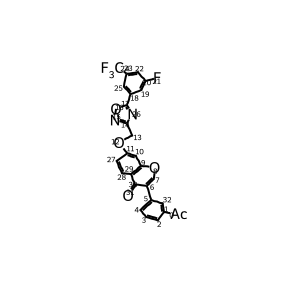 CC(=O)c1cccc(-c2coc3cc(OCc4noc(-c5cc(F)cc(C(F)(F)F)c5)n4)ccc3c2=O)c1